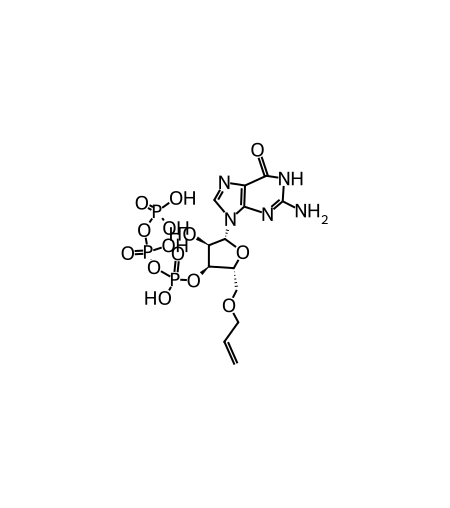 C=CCOC[C@H]1O[C@@H](n2cnc3c(=O)[nH]c(N)nc32)[C@H](O)[C@@H]1OP(=O)(O)OP(=O)(O)OP(=O)(O)O